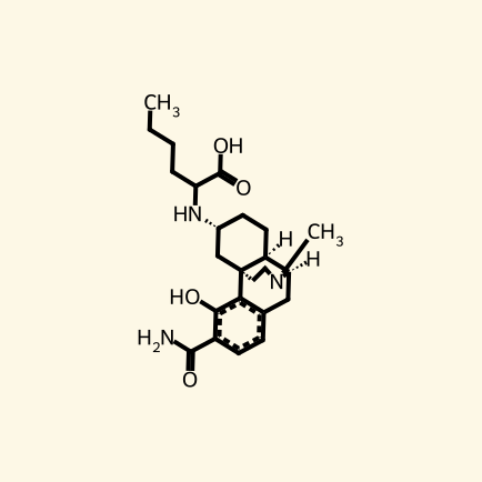 CCCCC(N[C@@H]1CC[C@H]2[C@H]3Cc4ccc(C(N)=O)c(O)c4[C@@]2(CCN3C)C1)C(=O)O